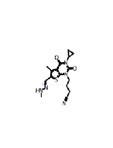 CN/N=C/c1sc2c(c1C)c(=O)n(C1CC1)c(=O)n2CCCC#N